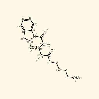 COCCOCOC(=O)[C@H](C)C[C@@H](C)C(=O)N1c2ccccc2C[C@H]1C(=O)O